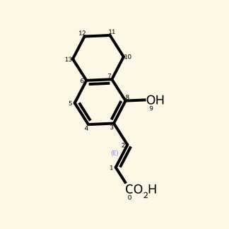 O=C(O)/C=C/c1ccc2c(c1O)CCCC2